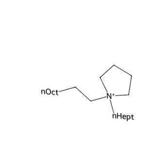 CCCCCCCCCC[N+]1(CCCCCCC)CCCC1